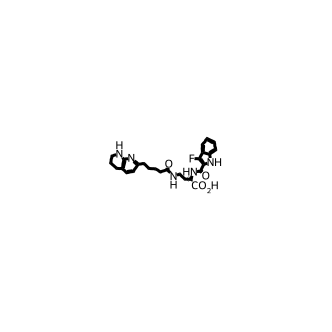 O=C(CCCCc1ccc2c(n1)NCCC2)NCC[C@H](NC(=O)c1[nH]c2ccccc2c1F)C(=O)O